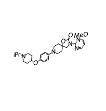 CON1C=CC=NC1N1CC2(CCN(c3ccc(OC4CCN(C(C)C)CC4)cc3)CC2)OC1=O